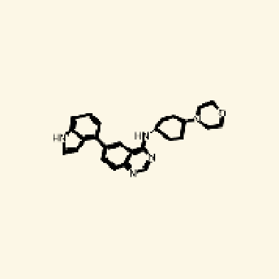 c1cc(-c2ccc3ncnc(N[C@H]4CC[C@H](N5CCOCC5)CC4)c3c2)c2cc[nH]c2c1